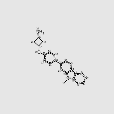 Cn1c2ccncc2c2ccc(-c3ccc(O[C@H]4C[C@H](N)C4)nc3)cc21